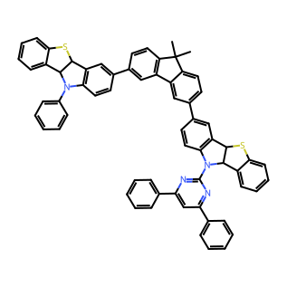 CC1(C)c2ccc(-c3ccc4c(c3)C3Sc5ccccc5C3N4c3ccccc3)cc2-c2cc(-c3ccc4c(c3)C3Sc5ccccc5C3N4c3nc(-c4ccccc4)cc(-c4ccccc4)n3)ccc21